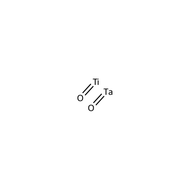 [O]=[Ta].[O]=[Ti]